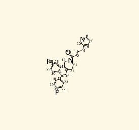 O=C(CCCc1cccnc1)N1CCC(CC(c2ccc(F)cc2)c2ccc(F)cc2)CC1